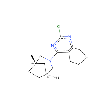 C[C@@]12CC[C@H](CN(c3nc(Cl)nc4c3CCCC4)C1)C2